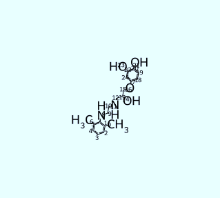 Cc1cccc(C)c1NCCNCC(O)COc1ccc(O)c(O)c1